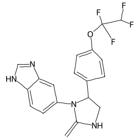 C=C1NCC(c2ccc(OC(F)(F)C(F)F)cc2)N1c1ccc2[nH]cnc2c1